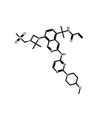 C=CC(=O)NC(C)(C)c1ccc(N2C[C@H](CS(C)(=O)=O)C2(C)C)c2cnc(Nc3ccnc(N4CCC(OC)CC4)n3)cc12